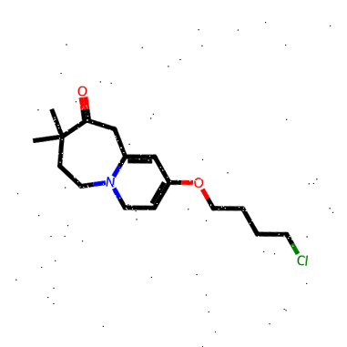 CC1(C)CCN2CC=C(OCCCCCl)C=C2CC1=O